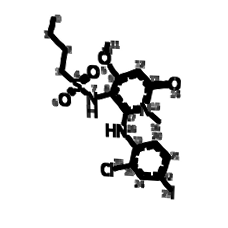 CCCCS(=O)(=O)Nc1c(OC)cc(=O)n(C)c1Nc1ccc(I)cc1Cl